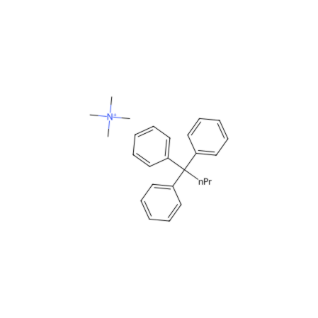 C[N+](C)(C)C.[CH2]CCC(c1ccccc1)(c1ccccc1)c1ccccc1